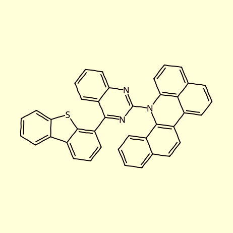 c1ccc2c3c(ccc2c1)-c1cccc2cccc(c12)N3c1nc(-c2cccc3c2sc2ccccc23)c2ccccc2n1